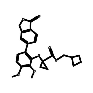 COc1ccc(-c2ccc3c(c2)COC3=O)c(OC2(C(=O)OCC3CCC3)CC2)c1OC